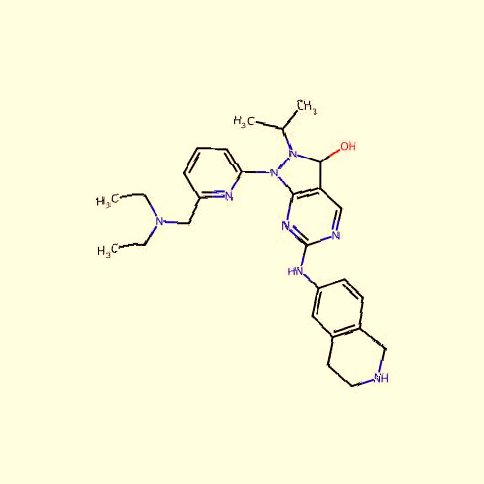 CCN(CC)Cc1cccc(N2c3nc(Nc4ccc5c(c4)CCNC5)ncc3C(O)N2C(C)C)n1